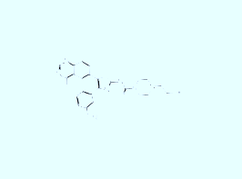 Cc1ncnc2ccc(-c3sc(NC(=O)N4CCN(CCO)CC4)nc3-c3cccc(C#N)c3)cc12